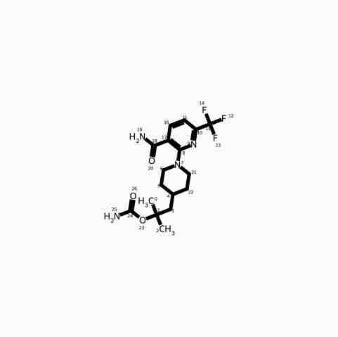 CC(C)(CC1CCN(c2nc(C(F)(F)F)ccc2C(N)=O)CC1)OC(N)=O